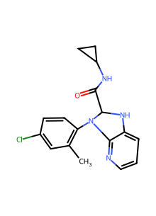 Cc1cc(Cl)ccc1N1c2ncccc2NC1C(=O)NC1CC1